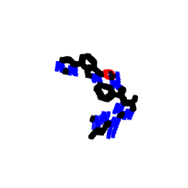 Cc1cnc(Nc2cc(C)n(C)n2)nc1-c1c[nH]c2c(N3Cc4c(cccc4-c4ccncn4)C3=O)cccc12